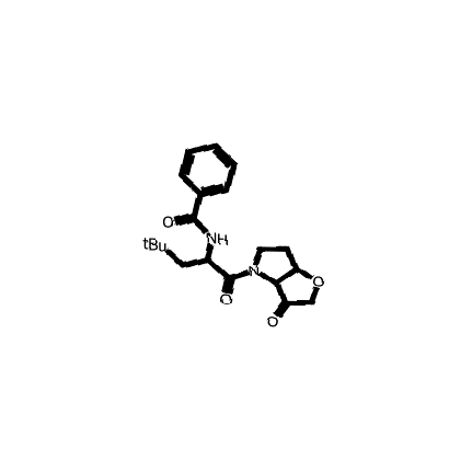 CC(C)(C)CC(NC(=O)c1ccccc1)C(=O)N1CCC2OCC(=O)C21